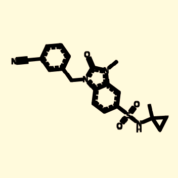 Cn1c(=O)n(Cc2cccc(C#N)c2)c2ccc(S(=O)(=O)NC3(C)CC3)cc21